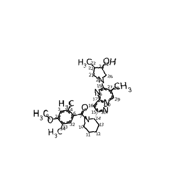 COc1cc(C)c(C(=O)N2CCCC[C@H]2c2cc3nc(N4C[C@@H](C)[C@@H](O)C4)c(C)cn3n2)cc1C